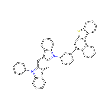 c1ccc(-n2c3ccccc3c3cc4c(cc32)c2ccccc2n4-c2cccc(-c3cc4sc5ccccc5c4c4ccccc34)c2)cc1